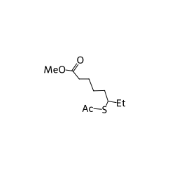 [CH2]CC(CCCCC(=O)OC)SC(C)=O